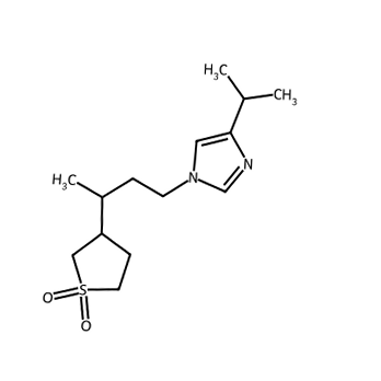 CC(C)c1cn(CCC(C)C2CCS(=O)(=O)C2)cn1